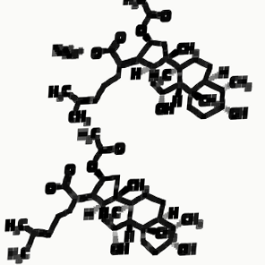 CC(=O)O[C@H]1C[C@@]2(C)[C@@H](C[C@@H](O)[C@H]3[C@@]4(C)CC[C@@H](O)[C@@H](C)[C@@H]4CC[C@@]32C)/C1=C(\CCC=C(C)C)C(=O)[O-].CC(=O)O[C@H]1C[C@@]2(C)[C@@H](C[C@@H](O)[C@H]3[C@@]4(C)CC[C@@H](O)[C@@H](C)[C@@H]4CC[C@@]32C)/C1=C(\CCC=C(C)C)C(=O)[O-].[Na+].[Na+]